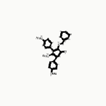 CCc1[c]c(-c2ccc(OC)cc2)c(OC)c(-c2ccc(OC)cc2)c1OCc1ccccc1